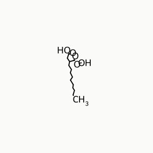 CCCCCCCCCCC(CC(=O)O)C(=O)OO